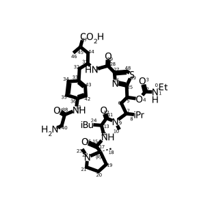 CCNC(=O)OC(CC(C(C)C)N(C)C(=O)C(NC(=O)[C@@]1(C)CCCN1C)C(C)CC)c1nc(C(=O)NC(Cc2ccc(NC(=O)CN)cc2)CC(C)C(=O)O)cs1